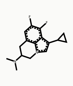 CN(C)C1Cc2cc(F)c(F)c3c(C4CC4)cn(c23)C1